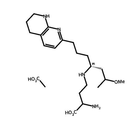 CC(=O)O.COC(C)C[C@@H](CCCc1ccc2c(n1)NCCC2)NCCC(N)C(=O)O